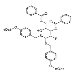 CCCCCCCCOc1ccc(CSC(SCc2ccc(OCCCCCCCC)cc2)C(F)C(OC(=O)c2ccccc2)C(O)COC(=O)c2ccccc2)cc1